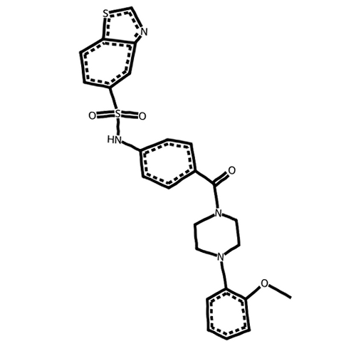 COc1ccccc1N1CCN(C(=O)c2ccc(NS(=O)(=O)c3ccc4scnc4c3)cc2)CC1